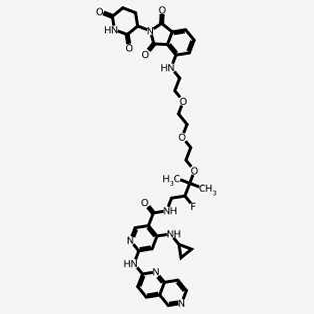 CC(C)(OCCOCCOCCNc1cccc2c1C(=O)N(C1CCC(=O)NC1=O)C2=O)C(F)CNC(=O)c1cnc(Nc2ccc3cnccc3n2)cc1NC1CC1